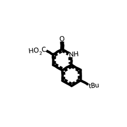 CC(C)(C)c1ccc2cc(C(=O)O)c(=O)[nH]c2c1